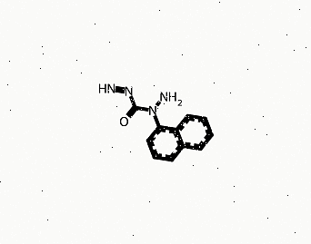 N=NC(=O)N(N)c1cccc2ccccc12